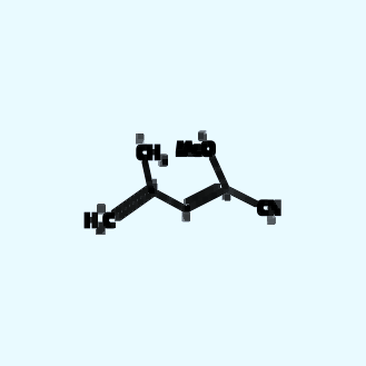 C=C(C)C=C(C#N)OC